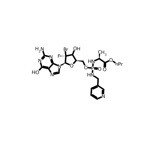 CCCOC(=O)[C@H](C)NP(=O)(NCc1cccnc1)OC[C@H]1O[C@@H](n2cnc3c(O)nc(N)nc32)[C@@](F)(Br)C1O